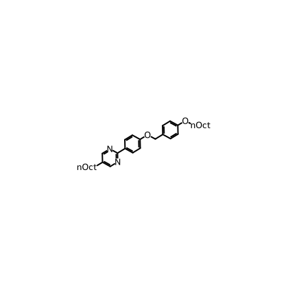 CCCCCCCCOc1ccc(COc2ccc(-c3ncc(CCCCCCCC)cn3)cc2)cc1